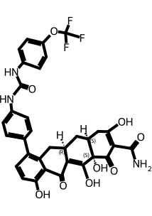 NC(=O)C1=C(O)C[C@@H]2C[C@@H]3Cc4c(-c5ccc(NC(=O)Nc6ccc(OC(F)(F)F)cc6)cc5)ccc(O)c4C(=O)C3=C(O)[C@]2(O)C1=O